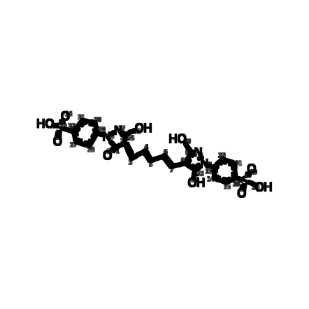 O=C1C(=CC=CC=Cc2c(O)nn(-c3ccc(S(=O)(=O)O)cc3)c2O)C(O)=NN1c1ccc(S(=O)(=O)O)cc1